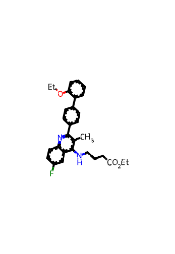 CCOC(=O)CCCNc1c(C)c(-c2ccc(-c3ccccc3OCC)cc2)nc2ccc(F)cc12